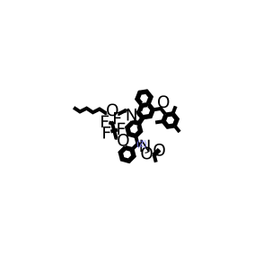 CCCCCCOCCn1c2ccc(/C(=N/OC(C)=O)c3ccccc3OCC(F)(F)C(F)F)cc2c2cc(C(=O)c3c(C)cc(C)cc3C)c3ccccc3c21